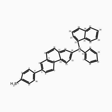 Bc1ccc(-c2ccc3c(ccc4cc(N(c5ccccc5)c5cccc6ccccc56)ccc43)c2)cc1